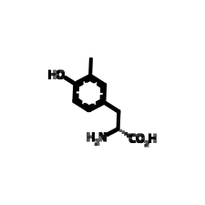 Cc1cc(C[C@@H](N)C(=O)O)ccc1O